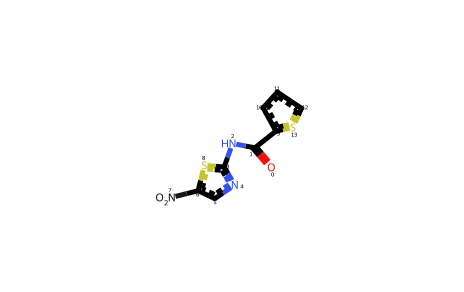 O=C(Nc1ncc([N+](=O)[O-])s1)c1cccs1